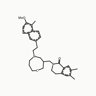 COc1ccc2cc(CCN3CCCCCC(CN4CCc5cc(C)c(C)cc5C4=O)C3)ccc2c1C